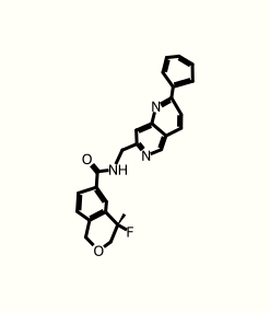 C[C@@]1(F)COCc2ccc(C(=O)NCc3cc4nc(-c5ccccc5)ccc4cn3)cc21